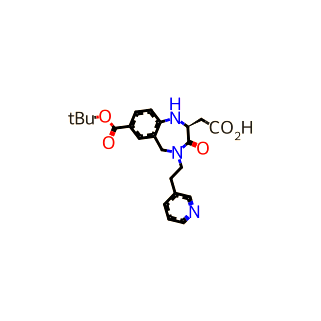 CC(C)(C)OC(=O)c1ccc2c(c1)CN(CCc1cccnc1)C(=O)[C@H](CC(=O)O)N2